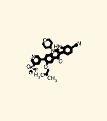 CC(C)COc1cc2c(=O)c3c4ccc(C#N)cc4[nH]c3n(C3CCOCC3)c2cc1-c1cncc(S(=O)(=O)F)c1